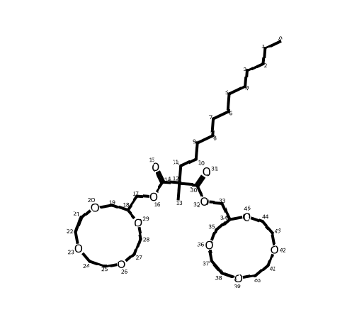 CCCCCCCCCCCCC(C)(C(=O)OCC1COCCOCCOCCO1)C(=O)OCC1COCCOCCOCCO1